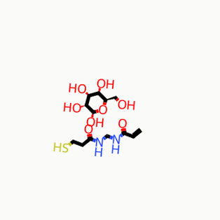 C=CC(=O)NCNC(=O)CCS.OC[C@H]1O[C@@H](O)[C@H](O)[C@@H](O)[C@H]1O